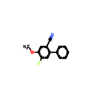 COc1cc(C#N)c(-c2ccccc2)cc1F